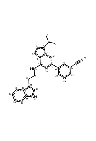 CC(C)c1cnc2c(NCCc3c[nH]c4ccccc34)nc(-c3cncc(C#N)c3)cn12